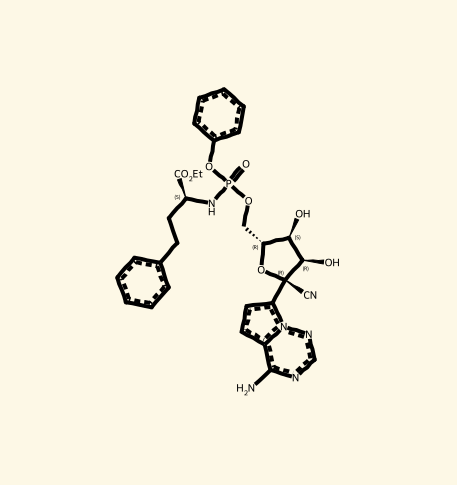 CCOC(=O)[C@H](CCc1ccccc1)NP(=O)(OC[C@H]1O[C@@](C#N)(c2ccc3c(N)ncnn23)[C@H](O)[C@@H]1O)Oc1ccccc1